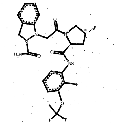 NC(=O)N1Cc2ccccc2N1CC(=O)N1C[C@H](F)C[C@H]1C(=O)Nc1cccc(OC(F)(F)F)c1F